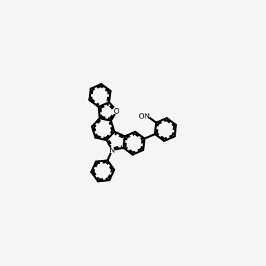 O=Nc1ccccc1-c1ccc2c(c1)c1c3oc4ccccc4c3ccc1n2-c1ccccc1